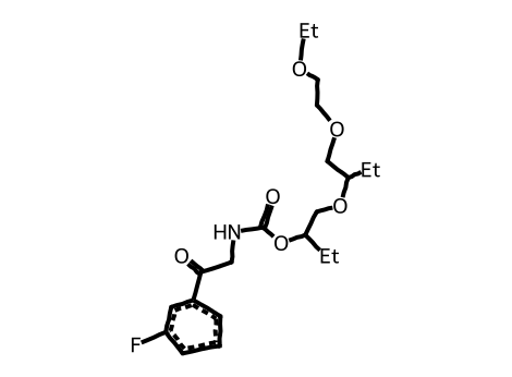 CCOCCOCC(CC)OCC(CC)OC(=O)NCC(=O)c1cccc(F)c1